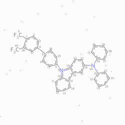 FC(F)(F)c1ccc(-c2ccc(-n3c4ccccc4c4cc(N(c5ccccc5)c5ccccc5)ccc43)cc2)cc1C(F)(F)F